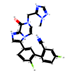 Cn1ncnc1Cn1ccn2c(-c3ccc(F)c(-c4ccc(F)cc4C#N)c3)cnc2c1=O